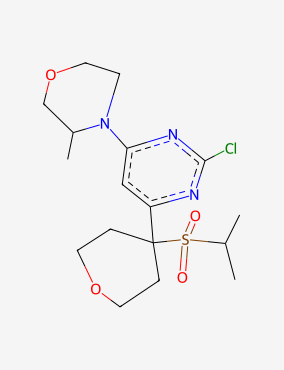 CC1COCCN1c1cc(C2(S(=O)(=O)C(C)C)CCOCC2)nc(Cl)n1